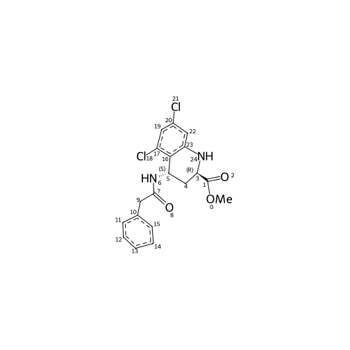 COC(=O)[C@H]1C[C@H](NC(=O)Cc2ccccc2)c2c(Cl)cc(Cl)cc2N1